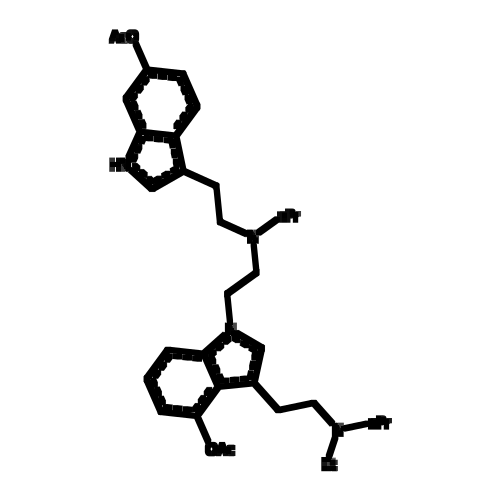 CCCN(CC)CCc1cn(CCN(CCC)CCc2c[nH]c3cc(OC(C)=O)ccc23)c2cccc(OC(C)=O)c12